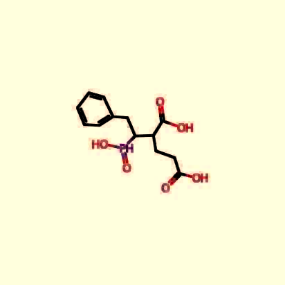 O=C(O)CCC(C(=O)O)C(Cc1ccccc1)[PH](=O)O